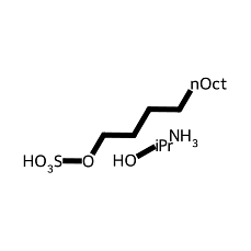 CC(C)O.CCCCCCCCCCCCOS(=O)(=O)O.N